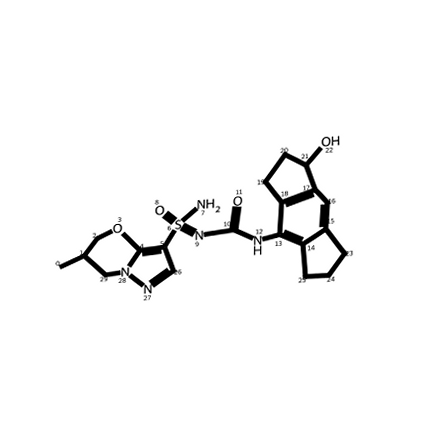 CC1COc2c(S(N)(=O)=NC(=O)Nc3c4c(cc5c3CCC5O)CCC4)cnn2C1